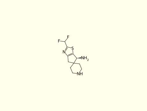 N[C@@H]1c2sc(C(F)F)nc2CC12CCNCC2